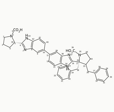 O=C(O)N1CCC[C@H]1c1nc2cc(-c3ccc4[nH]c([C@]5(Cc6ccccc6)C(Cc6ccccc6)CCN5C(=O)O)nc4c3)ccc2[nH]1